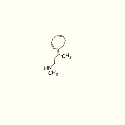 CNCC/C(C)=C1\C=C/C/C=C\CC1